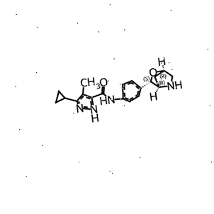 Cc1c(C2CC2)n[nH]c1C(=O)Nc1ccc([C@@H]2O[C@H]3CN[C@@H]2C3)cc1